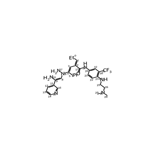 CC/C=C(\C=C(/C(C)C)N(N)/C=C(\N)c1cccnc1)C(=O)Nc1ccc(NCCN(C)C)c(C(F)(F)F)c1